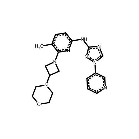 Cc1ccc(Nc2ncn(-c3cccnc3)n2)nc1N1CC(N2CCOCC2)C1